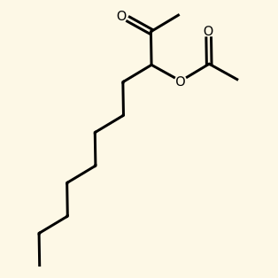 CCCCCCCCC(OC(C)=O)C(C)=O